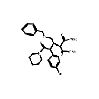 COC(=O)C(C(=O)OC)C(COCc1ccccc1)C(C(=O)N1CCCCC1)c1ccc(Br)cc1